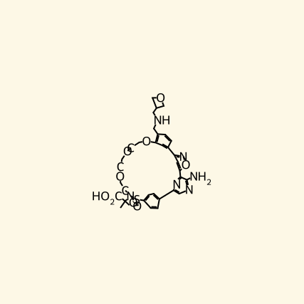 CC(C)(C(=O)O)N1CCOCCOCCOc2cc(ccc2CNCC2COC2)-c2cc(on2)-c2nc(cnc2N)-c2ccc(cc2)S1(=O)=O